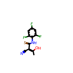 CC(O)=C(C#N)C(=S)Nc1c(F)cc(F)cc1F